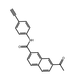 C#Cc1ccc(NC(=O)c2ccc3ccc(C(C)=O)cc3c2)cc1